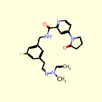 C=CN(C)/N=C\Cc1cc(F)cc(CNC(=O)c2cc(N3CCCC3=O)ccn2)c1